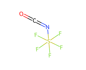 O=C=NS(F)(F)(F)(F)F